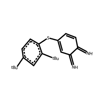 CC(C)(C)c1ccc(SC2=CC(=N)C(=N)C=C2)c(C(C)(C)C)c1